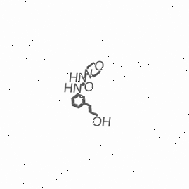 O=C(Nc1cccc(/C=C/CO)c1)NN1CCOCC1